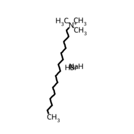 Br.CCCCCCCCCCCCCCCC[N+](C)(C)C.[NaH]